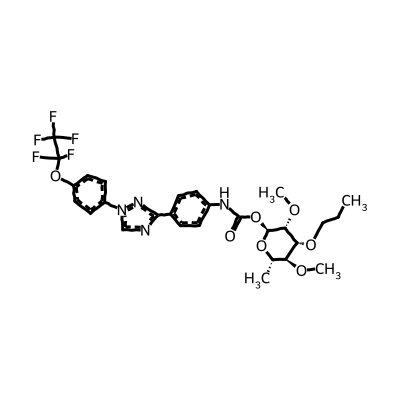 CCCO[C@@H]1[C@@H](OC)[C@H](C)O[C@@H](OC(=O)Nc2ccc(-c3ncn(-c4ccc(OC(F)(F)C(F)(F)F)cc4)n3)cc2)[C@@H]1OC